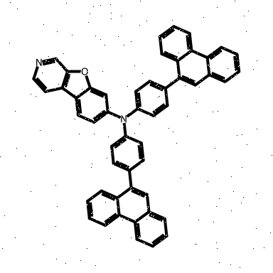 c1ccc2c(c1)cc(-c1ccc(N(c3ccc(-c4cc5ccccc5c5ccccc45)cc3)c3ccc4c(c3)oc3cnccc34)cc1)c1ccccc12